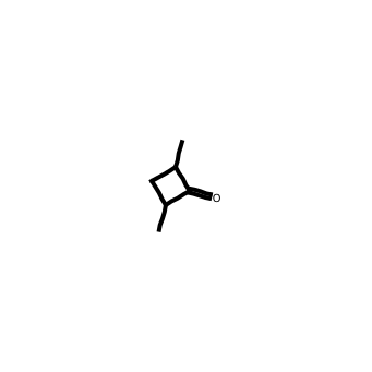 CC1CC(C)C1=O